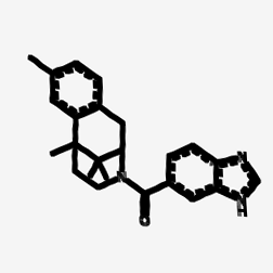 Cc1ccc2c(c1)C1(C)CCN(C(=O)c3ccc4nc[nH]c4c3)C(C2)C1(C)C